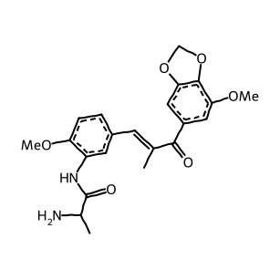 COc1ccc(C=C(C)C(=O)c2cc(OC)c3c(c2)OCO3)cc1NC(=O)C(C)N